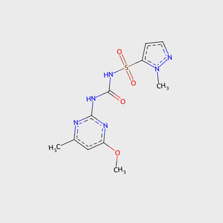 COc1cc(C)nc(NC(=O)NS(=O)(=O)c2ccnn2C)n1